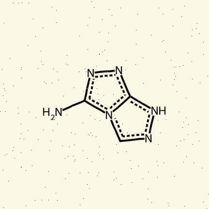 Nc1nnc2[nH]ncn12